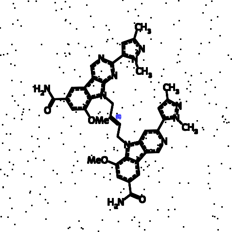 COc1cc(C(N)=O)cc2c3cnc(-c4cc(C)nn4C)cc3n(C/C=C/Cn3c4nc(-c5cc(C)nn5C)ncc4c4cc(C(N)=O)cc(OC)c43)c12